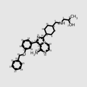 CC(O)CNCC1CCC(c2nc(-c3cccc(OCc4ccccc4)c3)c3c(N)nccn23)CC1